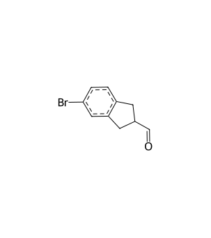 O=CC1Cc2ccc(Br)cc2C1